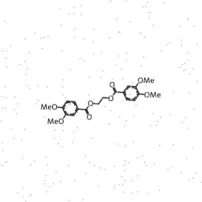 COc1ccc(C(=O)OCCOC(=O)c2ccc(OC)c(OC)c2)cc1OC